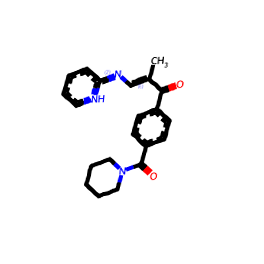 C/C(=C\N=c1\cccc[nH]1)C(=O)c1ccc(C(=O)N2CCCCC2)cc1